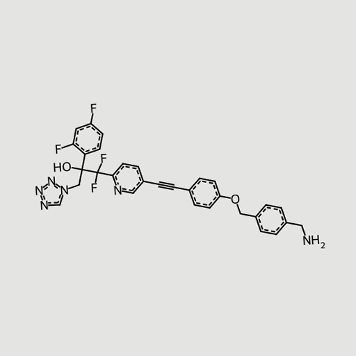 NCc1ccc(COc2ccc(C#Cc3ccc(C(F)(F)C(O)(Cn4cnnn4)c4ccc(F)cc4F)nc3)cc2)cc1